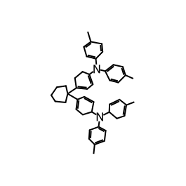 CC1=CCC(N(c2ccc(C)cc2)C2C=CC(C3(C4=CC=C(N(c5ccc(C)cc5)c5ccc(C)cc5)CC4)CCCCC3)=CC2)C=C1